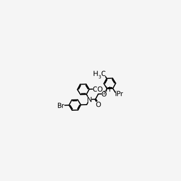 Cc1ccc(C(C)C)c(OCC(=O)N(Cc2ccc(Br)cc2)c2ccccc2C(=O)O)c1